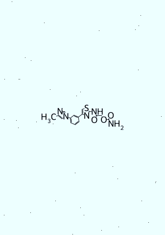 Cc1cn(-c2cccc(-c3csc(NC(=O)COC(N)=O)n3)c2)cn1